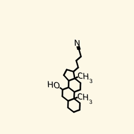 CC12CCC3C(C(O)CC4CCCCC43C)C1CCC2CCCC#N